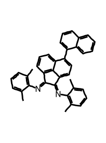 Cc1cccc(C)c1N=C1C(=Nc2c(C)cccc2C)c2ccc(-c3cccc4ccccc34)c3cccc1c23